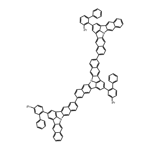 CC(C)c1ccc(-c2cc3c4cc5ccccc5cc4n4c5cc6ccc(-c7ccc8cc9c(cc8c7)c7cc(-c8cc(C(C)C)ccc8-c8ccccc8)cc8c%10cc%11cc(-c%12ccc%13cc%14c(cc%13c%12)c%12cc(-c%13c(-c%15ccccc%15)cccc%13C(C)C)cc%13c%15cc%16ccccc%16cc%15n%14c%13%12)ccc%11cc%10n9c78)cc6cc5c(c2)c34)c(-c2ccccc2)c1